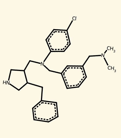 CN(C)Cc1cccc(CN(CC2CNCC2Cc2ccccc2)c2ccc(Cl)cc2)c1